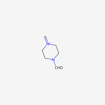 C=[N+]1CCN(C=O)CC1